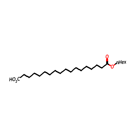 CCCCCCOC(=O)CCCCCCCCCCCCCCCCC(=O)O